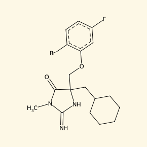 CN1C(=N)NC(COc2cc(F)ccc2Br)(CC2CCCCC2)C1=O